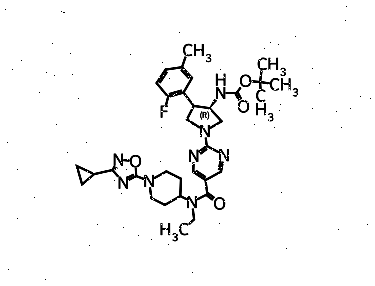 CCN(C(=O)c1cnc(N2CC(c3cc(C)ccc3F)[C@@H](NC(=O)OC(C)(C)C)C2)nc1)C1CCN(c2nc(C3CC3)no2)CC1